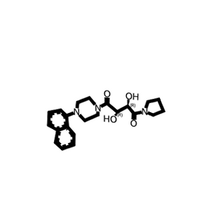 O=C([C@H](O)[C@@H](O)C(=O)N1CCN(c2cccc3ccccc23)CC1)N1CCCC1